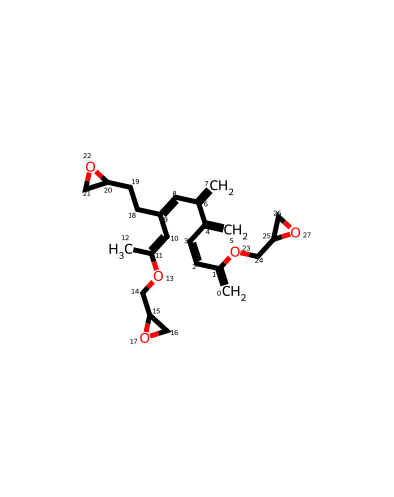 C=C(/C=C\C(=C)C(=C)/C=C(\C=C(/C)OCC1CO1)CCC1CO1)OCC1CO1